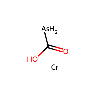 O=C(O)[AsH2].[Cr]